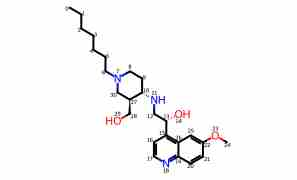 CCCCCCCN1CC[C@H](NC[C@H](O)c2ccnc3ccc(OC)cc23)[C@@H](CO)C1